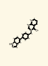 O=c1c2cccnc2ncn1Cc1ccc(C2=CC3C=NNC3C=C2)cc1